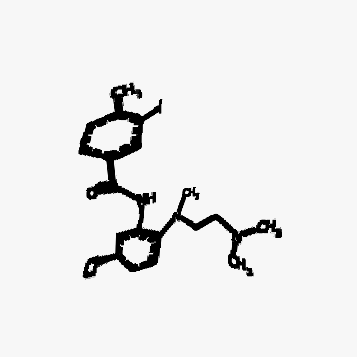 Cc1ccc(C(=O)Nc2cc(Cl)ccc2N(C)CCN(C)C)cc1I